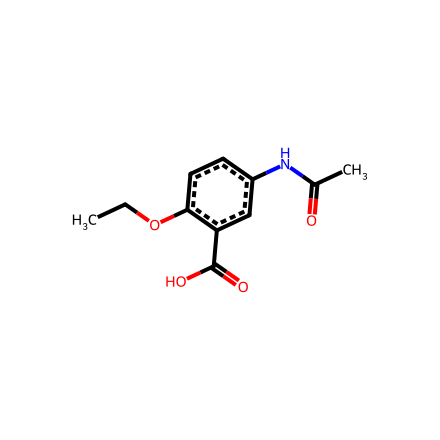 CCOc1ccc(NC(C)=O)cc1C(=O)O